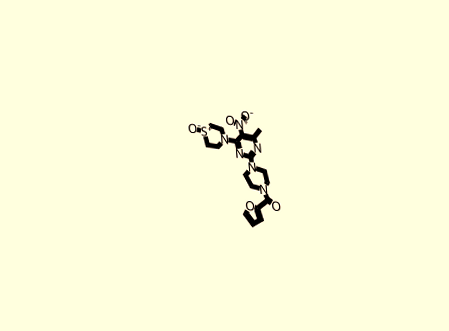 Cc1nc(N2CCN(C(=O)c3ccco3)CC2)nc(N2CC[S+]([O-])CC2)c1[N+](=O)[O-]